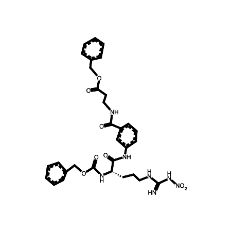 N=C(NCCC[C@H](NC(=O)OCc1ccccc1)C(=O)Nc1cccc(C(=O)NCCC(=O)OCc2ccccc2)c1)N[N+](=O)[O-]